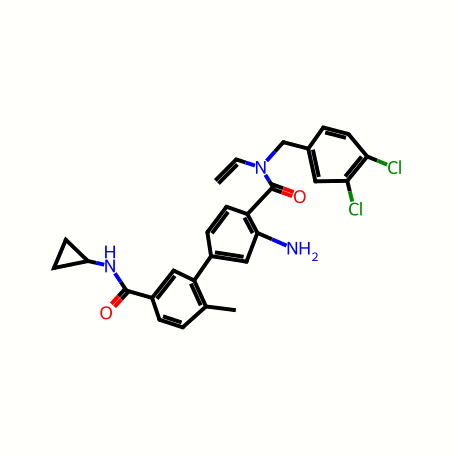 C=CN(Cc1ccc(Cl)c(Cl)c1)C(=O)c1ccc(-c2cc(C(=O)NC3CC3)ccc2C)cc1N